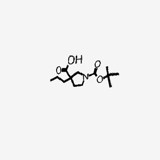 CCCC1(C(=O)O)CCN(C(=O)OC(C)(C)C)C1